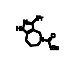 CC(C)c1n[nH]c2c1CN(C(=O)C(C)(C)C)CCC2